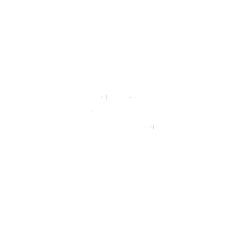 CC(CC(Cl)(Cl)Cl)C(=O)O